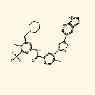 Cc1ccc(C(=O)Nc2cc(CN3CCCCC3)c(F)c(C(F)(F)F)c2)cc1-n1cc(-c2cnc3[nH]ccc3c2)nn1